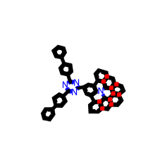 c1ccc(-c2ccc(-c3nc(-c4ccc(-c5ccccc5)cc4)nc(-c4cc(-c5ccccc5)c(N(c5ccccc5-c5ccccc5)c5ccccc5-c5ccccc5)c(-c5ccccc5)c4)n3)cc2)cc1